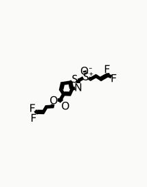 O=C(OCCC=C(F)F)c1ccc2sc([S+]([O-])CCC=C(F)F)nc2c1